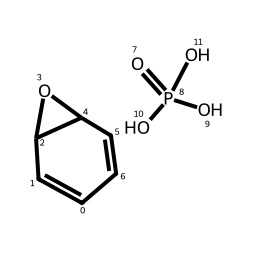 C1=CC2OC2C=C1.O=P(O)(O)O